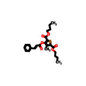 CCCCOC(=O)c1sc(C(=O)OCCCC)c(OC(=O)/C=C/c2ccccc2)c1C